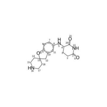 O=C1CCC(Nc2ccc3c(c2)CC2(CCNCC2)O3)C(=O)N1